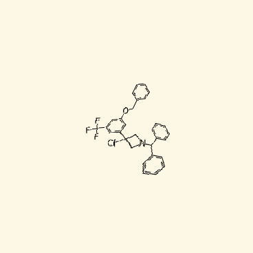 FC(F)(F)c1cc(OCc2ccccc2)cc(C2(Cl)CN(C(c3ccccc3)c3ccccc3)C2)c1